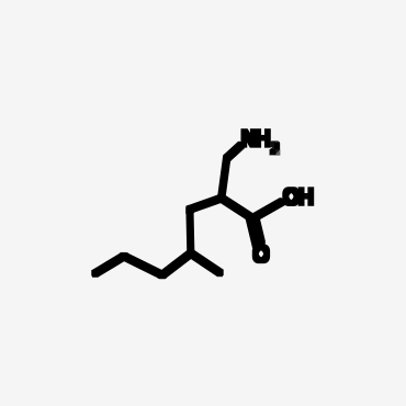 CCCC(C)CC(CN)C(=O)O